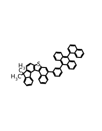 CC1(C)c2ccccc2-c2c1ccc1sc3cc(-c4cccc(-c5c6ccccc6c(-c6cccc7ccccc67)c6ccccc56)c4)c4ccccc4c3c21